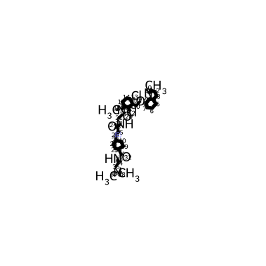 Cc1ccc2cccc(OCc3c(Cl)ccc(N(C)C(=O)CNC(=O)/C=C/c4ccc(C(=O)NCCN(C)C)cc4)c3Cl)c2n1